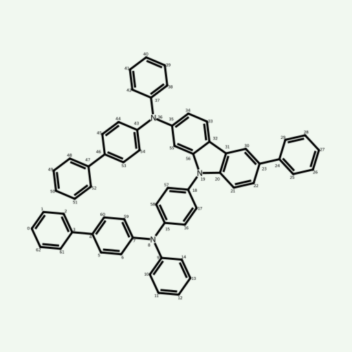 c1ccc(-c2ccc(N(c3ccccc3)c3ccc(-n4c5ccc(-c6ccccc6)cc5c5ccc(N(c6ccccc6)c6ccc(-c7ccccc7)cc6)cc54)cc3)cc2)cc1